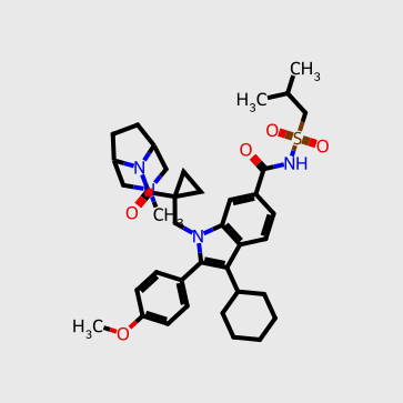 COc1ccc(-c2c(C3CCCCC3)c3ccc(C(=O)NS(=O)(=O)CC(C)C)cc3n2CC2(C(=O)N3C4CCC3CN(C)C4)CC2)cc1